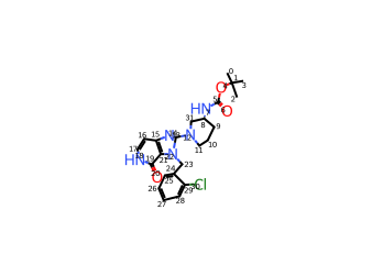 CC(C)(C)OC(=O)N[C@@H]1CCCN(c2nc3cc[nH]c(=O)c3n2Cc2ccccc2Cl)C1